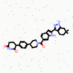 CC1(C)CCc2c(-c3cc4ccc(C(=O)N5CCC(c6ccc(C7CCC(=O)NC7=O)cc6)CC5)cc4[nH]3)n[nH]c2C1